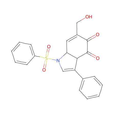 O=C1C(=O)C2C(c3ccccc3)=CN(S(=O)(=O)c3ccccc3)C2C=C1CO